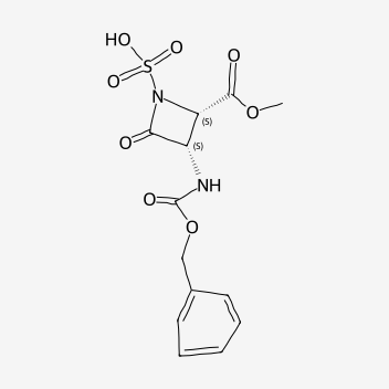 COC(=O)[C@@H]1[C@H](NC(=O)OCc2ccccc2)C(=O)N1S(=O)(=O)O